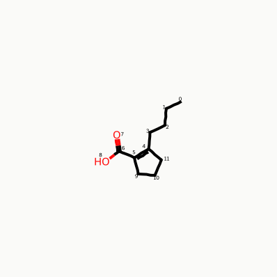 CCCCC1=C(C(=O)O)CCC1